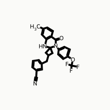 Cc1ccc2c(c1)NC1(CC(Cc3cccc(C#N)c3)C1)N(c1ccc(OC(F)(F)F)cc1)C2=O